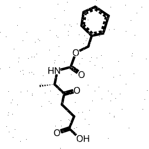 C[C@H](NC(=O)OCc1ccccc1)C(=O)CCC(=O)O